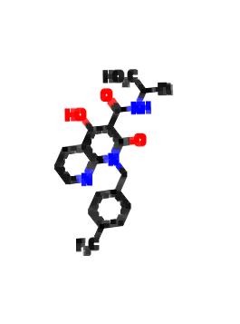 CCC(NC(=O)c1c(O)c2cccnc2n(Cc2ccc(C(F)(F)F)cc2)c1=O)C(=O)O